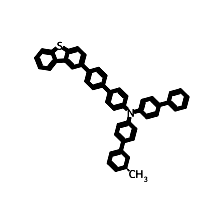 C[C@@H]1C=CC=C(c2ccc(N(c3ccc(-c4ccccc4)cc3)c3ccc(-c4ccc(-c5ccc6sc7ccccc7c6c5)cc4)cc3)cc2)C1